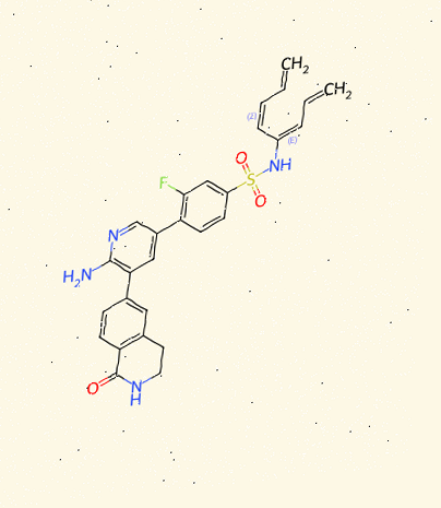 C=C/C=C\C(=C/C=C)NS(=O)(=O)c1ccc(-c2cnc(N)c(-c3ccc4c(c3)CCNC4=O)c2)c(F)c1